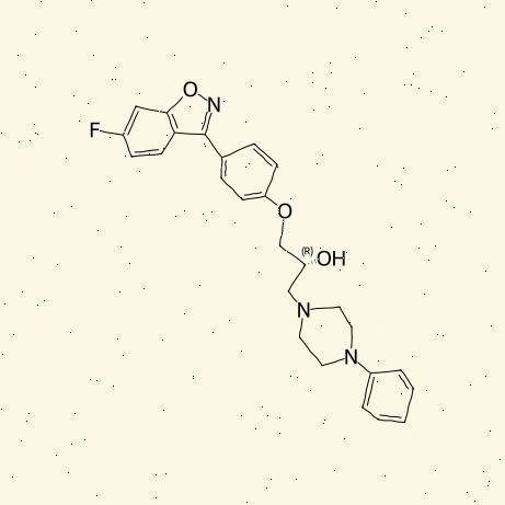 O[C@@H](COc1ccc(-c2noc3cc(F)ccc23)cc1)CN1CCN(c2ccccc2)CC1